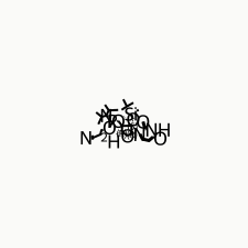 [2H]C[C@H]1O[C@@H](n2ccc(=O)[nH]c2=O)[C@@H](O[Si](C)(C)C(C)(C)C)C1OP(OCCC#N)N(C(C)C)C(C)C